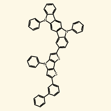 c1ccc(-c2cccc(-c3cc4c(s3)c3sc(-c5ccc6c(c5)c5cc7c(cc5n6-c5ccccc5)c5ccccc5n7-c5ccccc5)cc3n4-c3ccccc3)c2)cc1